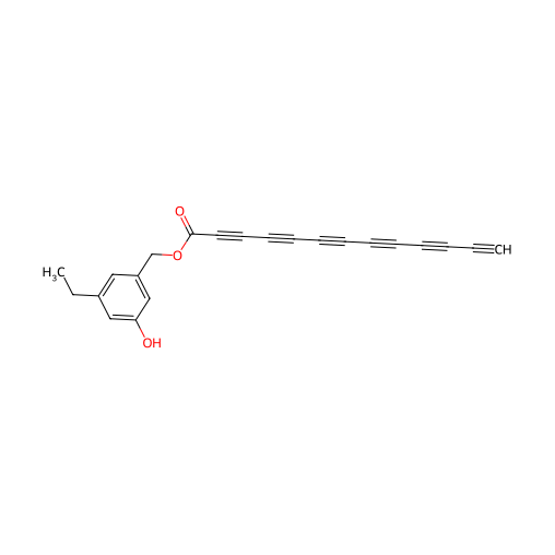 C#CC#CC#CC#CC#CC#CC(=O)OCc1cc(O)cc(CC)c1